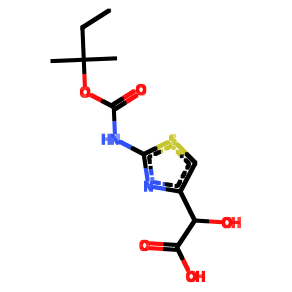 CCC(C)(C)OC(=O)Nc1nc(C(O)C(=O)O)cs1